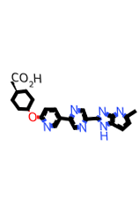 Cc1ccc2[nH]c(-c3cnc(-c4ccc(O[C@H]5CC[C@H](CC(=O)O)CC5)nc4)cn3)nc2n1